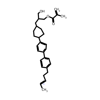 C=C(C)C(=O)OCC(CO)CC1CCC(c2ccc(-c3ccc(CC/C=C/C)cc3)cc2)CC1